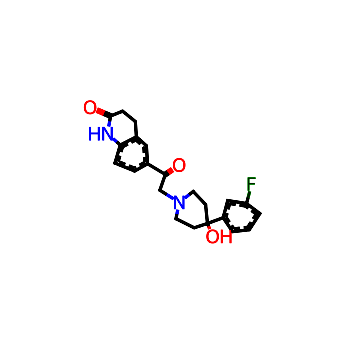 O=C1CCc2cc(C(=O)CN3CCC(O)(c4cccc(F)c4)CC3)ccc2N1